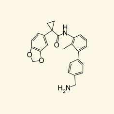 Cc1c(NC(=O)C2(c3ccc4c(c3)OCO4)CC2)cccc1-c1ccc(CN)cc1